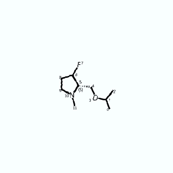 CC(C)OC[C@H]1C(F)CCN1C